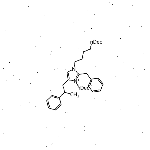 CCCCCCCCCCCCCCn1cc(CC(C)c2ccccc2)[n+](CCCCCCCCCC)c1Cc1ccccc1